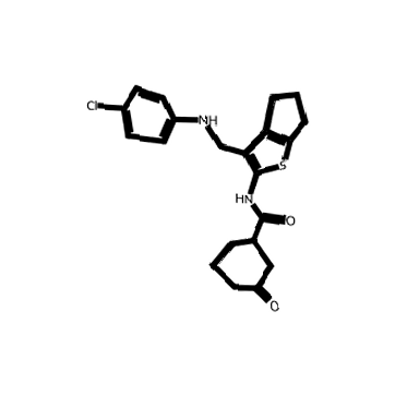 O=C1CCCC(C(=O)Nc2sc3c(c2CNc2ccc(Cl)cc2)CCC3)C1